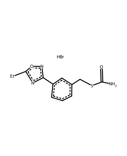 Br.CCc1nc(-c2cccc(CSC(N)=O)c2)no1